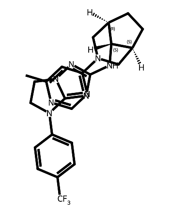 Cc1cc(N2C[C@H]3CC[C@@H](C2)[C@@H]3Nc2nc3n(n2)CCN3c2ccc(C(F)(F)F)cc2)ncn1